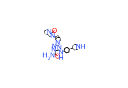 NC(=O)c1nnc(N2CC3CC(N4CC5CCCN5C4=O)C2C3)nc1Nc1ccc(C2CCNCC2)cc1